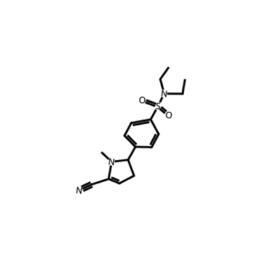 CCN(CC)S(=O)(=O)c1ccc(C2CC=C(C#N)N2C)cc1